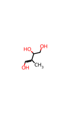 C/C(=C\O)C(O)CO